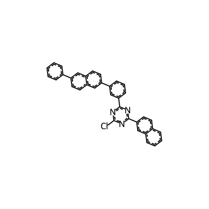 Clc1nc(-c2cccc(-c3ccc4cc(-c5ccccc5)ccc4c3)c2)nc(-c2ccc3ccccc3c2)n1